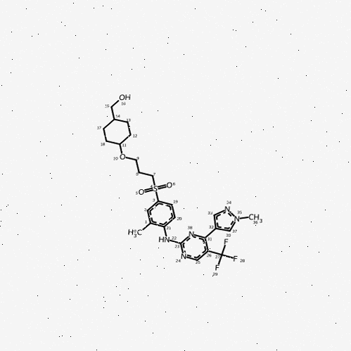 Cc1cc(S(=O)(=O)CCCOC2CCC(CO)CC2)ccc1Nc1ncc(C(F)(F)F)c(-c2cnn(C)c2)n1